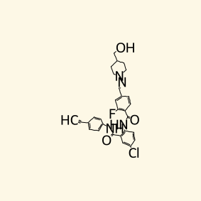 C#Cc1ccc(NC(=O)c2cc(Cl)ccc2NC(=O)c2ccc(C=NN3CCC(CO)CC3)cc2F)cc1